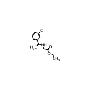 C=C(NCC(=O)OCC)c1cccc(Cl)c1